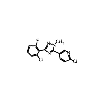 Cn1nc(-c2c(F)cccc2Cl)nc1-c1ccc(Cl)nc1